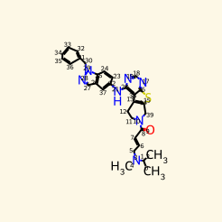 CC(C)N(C)C/C=C/C(=O)N1CCc2c(sc3ncnc(Nc4ccc5c(cnn5Cc5ccccc5)c4)c23)C1